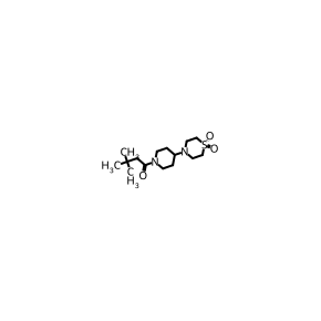 CC(C)(C)CC(=O)N1CCC(N2CCS(=O)(=O)CC2)CC1